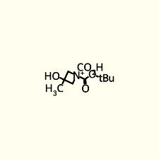 CC1(O)C[N+](C(=O)O)(C(=O)OC(C)(C)C)C1